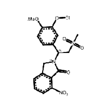 CCOc1cc([C@@H](CS(C)(=O)=O)[15N]2Cc3cccc([N+](=O)[O-])c3C2=O)ccc1OC